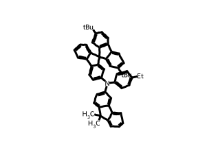 CCc1ccc(N(c2ccc3c(c2)-c2ccccc2C3(C)C)c2ccc3c(c2)C2(c4ccccc4-3)c3cc(C(C)(C)C)ccc3-c3ccc(C(C)(C)C)cc32)cc1